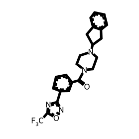 O=C(c1cccc(-c2noc(C(F)(F)F)n2)c1)N1CCN(C2Cc3ccccc3C2)CC1